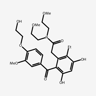 CCc1c(O)cc(O)c(C(=O)c2ccc(OCCO)c(OC)c2)c1CC(=O)N(CCOC)CCOC